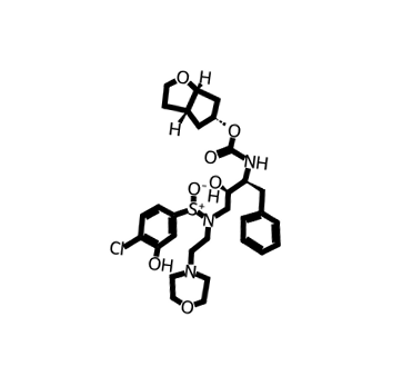 O=C(N[C@@H](Cc1ccccc1)[C@H](O)CN(CCN1CCOCC1)[S+]([O-])c1ccc(Cl)c(O)c1)O[C@@H]1C[C@@H]2CCO[C@@H]2C1